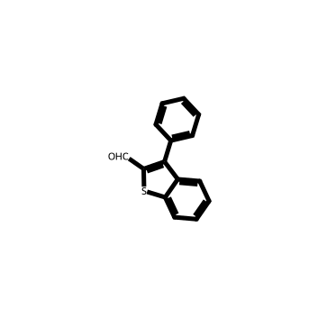 O=Cc1sc2ccccc2c1-c1ccccc1